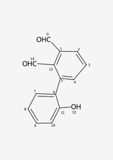 O=Cc1cccc(-c2ccccc2O)c1C=O